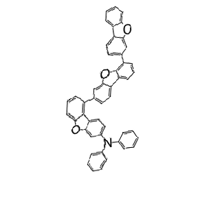 c1ccc(N(c2ccccc2)c2ccc3c(c2)oc2cccc(-c4ccc5c(c4)oc4c(-c6ccc7c(c6)oc6ccccc67)cccc45)c23)cc1